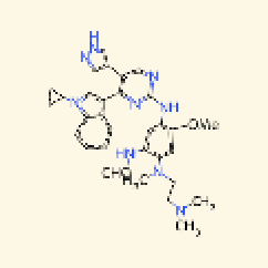 COc1cc(N(C)CCN(C)C)c(NC=O)cc1Nc1ncc(-c2cn[nH]c2)c(-c2cn(C3CC3)c3ccccc23)n1